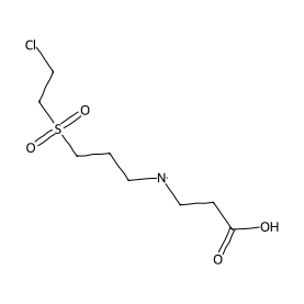 O=C(O)CC[N]CCCS(=O)(=O)CCCl